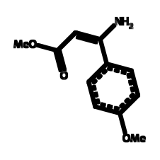 COC(=O)/C=C(/N)c1ccc(OC)cc1